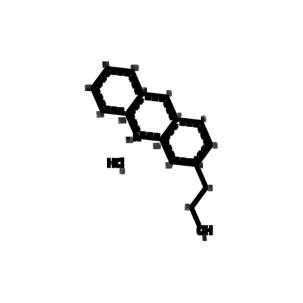 Cl.OCCc1ccc2cc3ccccc3nc2c1